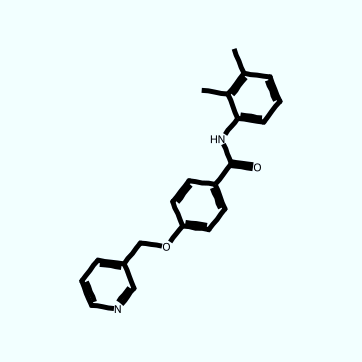 Cc1cccc(NC(=O)c2ccc(OCc3cccnc3)cc2)c1C